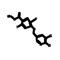 CC(C)(C)OC(=O)c1cc(F)c(OCc2cnc(Cl)c(Cl)c2)cc1F